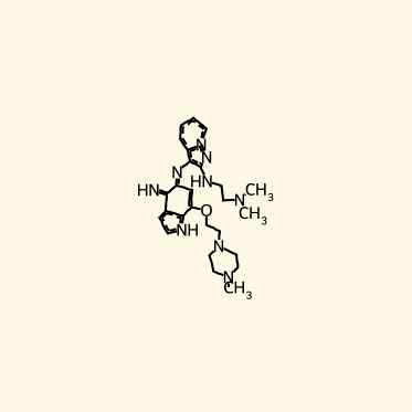 CN(C)CCNc1nn2ccccc2c1N=C1C=C(OCCN2CCN(C)CC2)c2[nH]ccc2C1=N